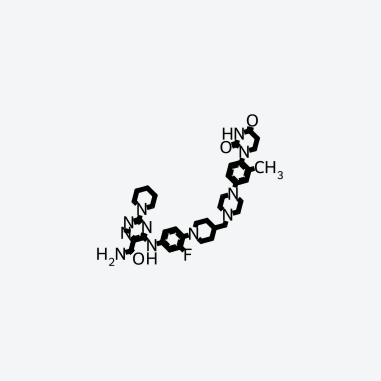 Cc1cc(N2CCN(CC3CCN(c4ccc(Nc5nc(N6CCCCC6)nnc5C(N)=O)cc4F)CC3)CC2)ccc1N1CCC(=O)NC1=O